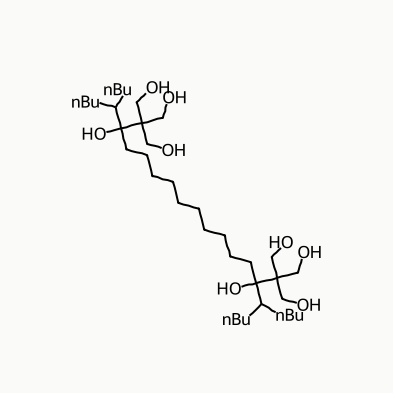 CCCCC(CCCC)C(O)(CCCCCCCCCCC(O)(C(CCCC)CCCC)C(CO)(CO)CO)C(CO)(CO)CO